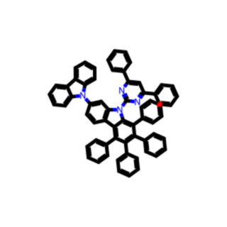 c1ccc(-c2cc(-c3ccccc3)nc(-n3c4cc(-n5c6ccccc6c6ccccc65)ccc4c4c(-c5ccccc5)c(-c5ccccc5)c(-c5ccccc5)c(-c5ccccc5)c43)n2)cc1